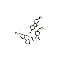 C=C[n+]1ccc(C)cc1-c1c(CCC2c3cc(C)ccc3-c3cccc[n+]3C2C)ccc2c1oc1cc(C(C)C)ccc12